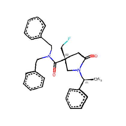 C[C@@H](c1ccccc1)N1C[C@](CF)(C(=O)N(Cc2ccccc2)Cc2ccccc2)CC1=O